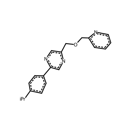 CC(C)c1ccc(-c2cnc(COCc3ccccn3)cn2)cc1